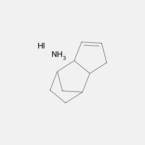 C1=CC2C3CCC(C3)C2C1.I.N